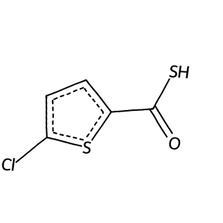 O=C(S)c1ccc(Cl)s1